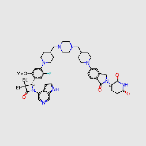 CCC1(CC)C(=O)N(c2cncc3[nH]ccc23)[C@H]1c1cc(F)c(N2CCC(CN3CCN(CC4CCN(c5ccc6c(c5)CN([C@H]5CCC(=O)NC5=O)C6=O)CC4)CC3)CC2)cc1OC